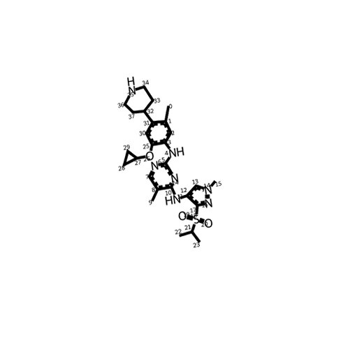 Cc1cc(Nc2ncc(C)c(Nc3cn(C)nc3S(=O)(=O)C(C)C)n2)c(OC2CC2)cc1C1CCNCC1